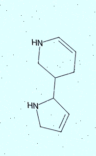 C1=CC(C2CC=CNC2)NC1